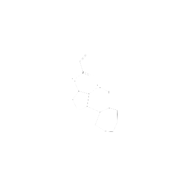 C=CC(=O)NC1COC(C2CCCCCC2)C1NC(C)C